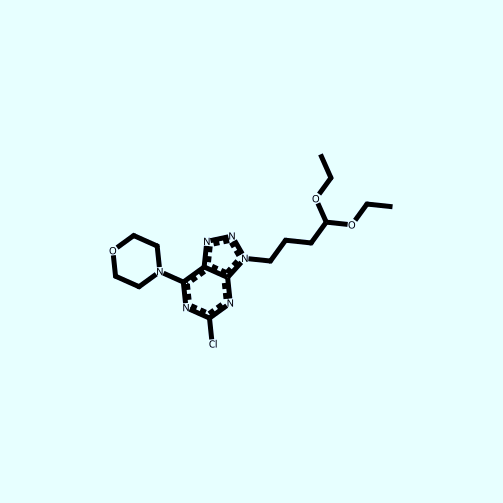 CCOC(CCCn1nnc2c(N3CCOCC3)nc(Cl)nc21)OCC